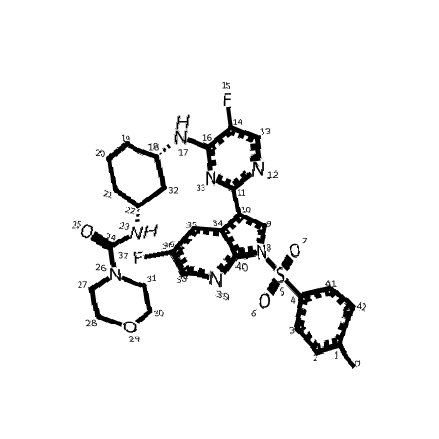 Cc1ccc(S(=O)(=O)n2cc(-c3ncc(F)c(N[C@H]4CCC[C@@H](NC(=O)N5CCOCC5)C4)n3)c3cc(F)cnc32)cc1